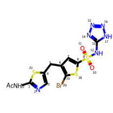 CC(=O)Nc1ncc(Cc2cc(S(=O)(=O)Nc3nnn[nH]3)sc2Br)s1